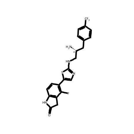 N[C@@H](CNc1ncc(-c2ccc3c(c2F)CC(=O)N3)s1)Cc1ccc(C(F)(F)F)cc1